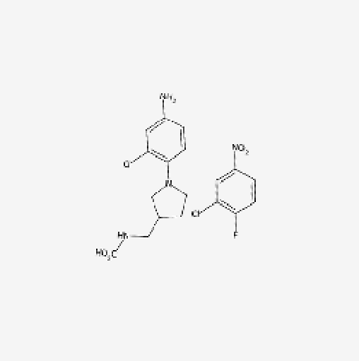 Nc1ccc(N2CCC(CNC(=O)O)C2)c(Cl)c1.O=[N+]([O-])c1ccc(F)c(Cl)c1